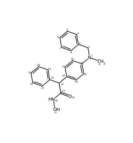 CN(Cc1ccccc1)c1ccc(C(C(=O)NO)c2ccccc2)cc1